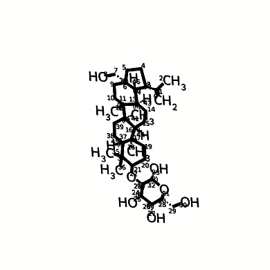 C=C(C)[C@@H]1CC[C@]2(CO)CC[C@]3(C)[C@H](CC[C@@H]4[C@@]5(C)CCC(O[C@@H]6[C@H](O)[C@@H](O)[C@@H](CO)O[C@H]6O)C(C)(C)[C@@H]5CC[C@]43C)[C@@H]12